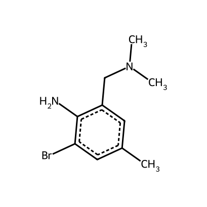 Cc1cc(Br)c(N)c(CN(C)C)c1